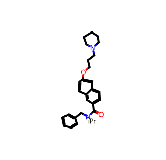 CC(C)N(Cc1ccccc1)C(=O)c1ccc2cc(OCCCN3CCCCC3)ccc2c1